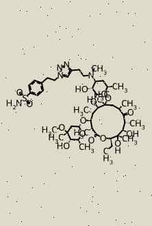 CC[C@H]1OC(=O)[C@H](C)[C@@H](O[C@H]2C[C@@](C)(OC)[C@@H](O)[C@H](C)O2)[C@H](C)[C@@H](O[C@@H]2O[C@H](C)C[C@H](N(C)CCc3cn(CCc4ccc(S(N)(=O)=O)cc4)nn3)[C@H]2O)[C@](C)(OC)C[C@@H](C)C(=O)[C@H](C)[C@@H](O)[C@]1(C)O